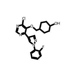 OC1CCC(COc2c(Cl)ncnc2-c2cnn(-c3ccccc3F)c2)CC1